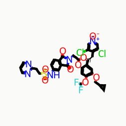 O=C(CN1C(=O)c2ccc(NS(=O)(=O)CCc3ncccn3)cc2C1=O)O[C@@H](Cc1c(Cl)c[n+]([O-])cc1Cl)c1ccc(OC(F)F)c(OCC2CC2)c1